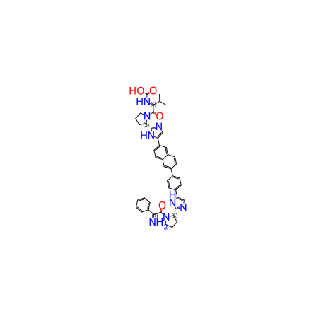 CC(C)[C@H](NC(=O)O)C(=O)N1CCC[C@H]1c1ncc(-c2ccc3cc(-c4ccc(-c5cnc([C@@H]6CCCN6C(=O)[C@H](N)c6ccccc6)[nH]5)cc4)ccc3c2)[nH]1